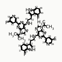 CC(C)n1cnc2c(NCCc3c[nH]c4c(F)cccc34)nc(-c3cncc(F)c3)nc21.CC(C)n1cnc2c(NCCc3c[nH]c4cccc(F)c34)nc(-c3cncc(F)c3)nc21